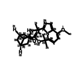 COc1cccn2c(C(C)(C)NC(=O)C3[C@@H]4C[C@H]3CN(C(=O)OC(C)(C)C)C4)ncc12